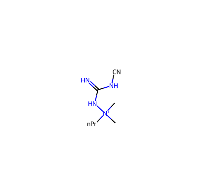 CCC[N+](C)(C)NC(=N)NC#N